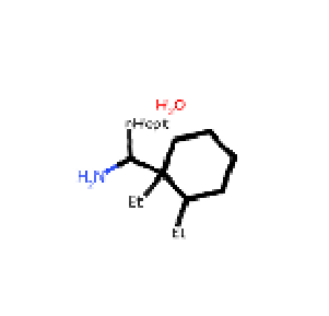 CCCCCCCC(N)C1(CC)CCCCC1CC.O